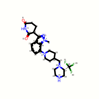 Cn1nc(C2CCC(=O)NC2=O)c2cccc(N3CCC(CN4CCNC[C@H]4C(F)(F)F)CC3)c21